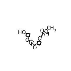 CCOC(=O)NCCOc1cccc(C(=O)N2CCC(Oc3cccc(O)c3)CC2)c1